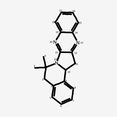 CC1(C)Cc2ccccc2C2Cc3nc4ccccc4nc3N21